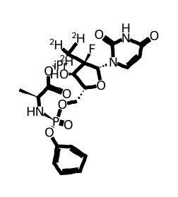 [2H]C([2H])([2H])[C@@]1(F)[C@H](O)[C@@H](CO[P@@](=O)(N[C@@H](C)C(=O)OC(C)C)Oc2ccccc2)O[C@H]1n1ccc(=O)[nH]c1=O